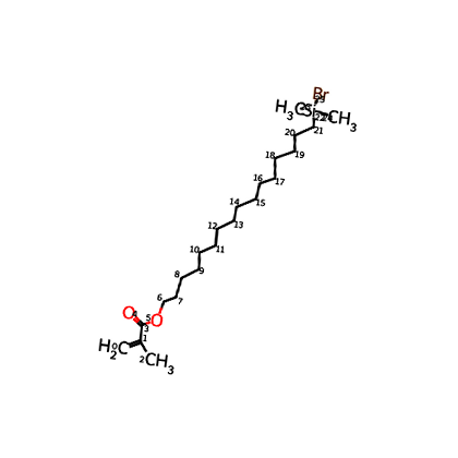 C=C(C)C(=O)OCCCCCCCCCCCCCCCC[Si](C)(C)Br